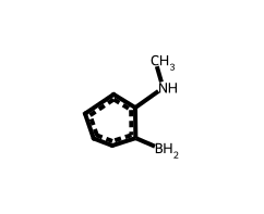 Bc1ccccc1NC